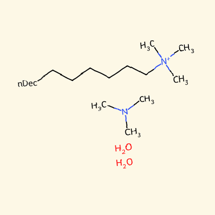 CCCCCCCCCCCCCCCC[N+](C)(C)C.CN(C)C.O.O